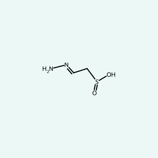 NN=CCS(=O)O